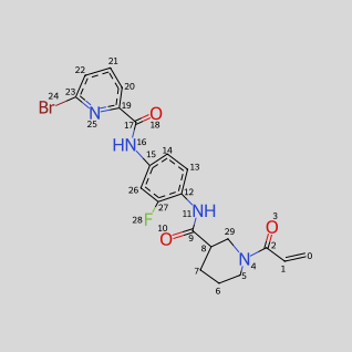 C=CC(=O)N1CCCC(C(=O)Nc2ccc(NC(=O)c3cccc(Br)n3)cc2F)C1